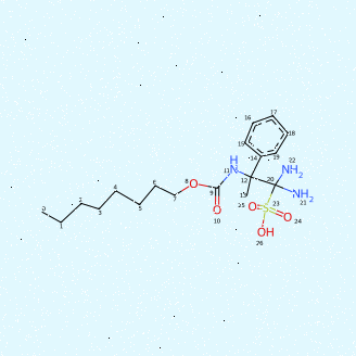 CCCCCCCCOC(=O)NC(C)(c1ccccc1)C(N)(N)S(=O)(=O)O